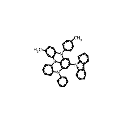 Cc1ccc(N2c3ccc(C)cc3B3c4ccccc4N(c4ccccc4)c4cc(-n5c6ccccc6c6ccccc65)cc2c43)cc1